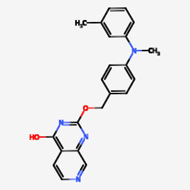 Cc1cccc(N(C)c2ccc(COc3nc(O)c4ccncc4n3)cc2)c1